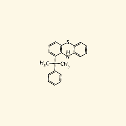 CC(C)(c1ccccc1)c1cccc2c1Nc1ccccc1S2